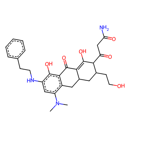 CN(C)c1cc(NCCc2ccccc2)c(O)c2c1CC1CC(CCO)C(C(=O)CC(N)=O)C(O)=C1C2=O